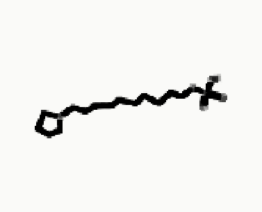 O=S(=O)(O)SCCCCCCCCCCN1CCCC1